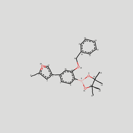 Cc1cc(-c2ccc(B3OC(C)(C)C(C)(C)O3)c(OCc3ccccc3)c2)co1